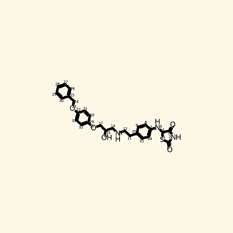 O=C1NC(=O)C(Nc2ccc(CCNCC(O)COc3ccc(OCc4ccccc4)cc3)cc2)S1